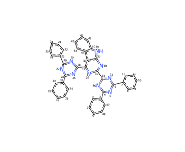 c1ccc(-c2nc(-c3ccccc3)nc(-c3nc(-c4nc(-c5ccccc5)nc(-c5ccccc5)n4)c4c(n3)[nH]c3ccccc34)n2)cc1